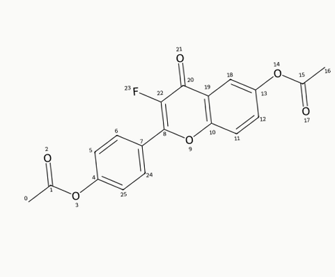 CC(=O)Oc1ccc(-c2oc3ccc(OC(C)=O)cc3c(=O)c2F)cc1